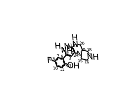 NC1=C(/C=C(\N)c2cc(F)ccc2O)N2CCNCC2CN1